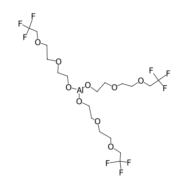 FC(F)(F)COCCOCC[O][Al]([O]CCOCCOCC(F)(F)F)[O]CCOCCOCC(F)(F)F